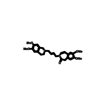 COc1cc2c(cc1OC)CC(=O)N(CC=CCN1CCc3cc(OC)c(OC)cc3C1)C=C2